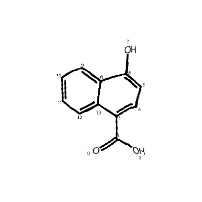 O=C(O)c1ccc(O)c2ccccc12